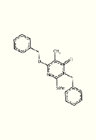 CSc1nc(OCc2ccccc2)c(C)c(=O)n1Cc1ccccc1